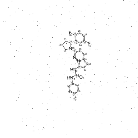 O=C(Nc1ccc(F)cc1)Nc1cnc2ccc(N3CCC[C@@H]3c3cc(F)ccc3F)nn12